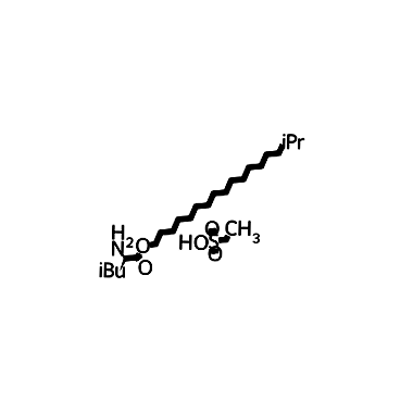 CCS(=O)(=O)O.CC[C@H](C)[C@H](N)C(=O)OCCCCCCCCCCCCCCCC(C)C